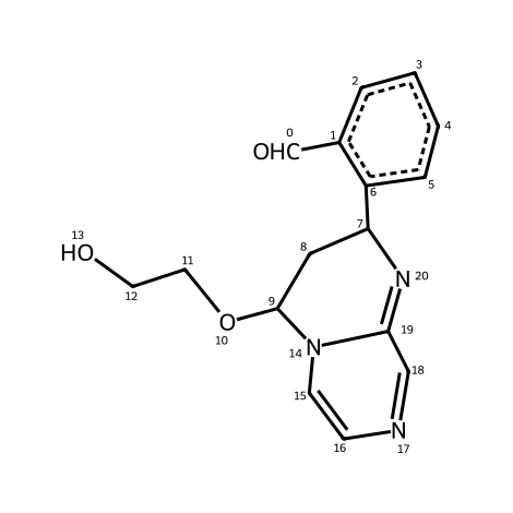 O=Cc1ccccc1C1CC(OCCO)N2C=CN=CC2=N1